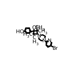 CC1(C)C(N2CCN(c3ccc(Br)cn3)CC2)C(C)(C)C1(O)c1ccc(O)cc1